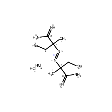 CC(C)(C)CC(C)(/N=N/C(C)(CC(C)(C)C)C(=N)N)C(=N)N.Cl.Cl